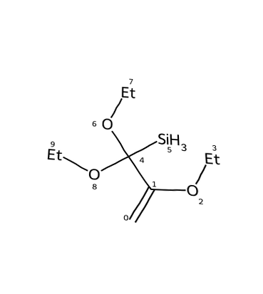 C=C(OCC)C([SiH3])(OCC)OCC